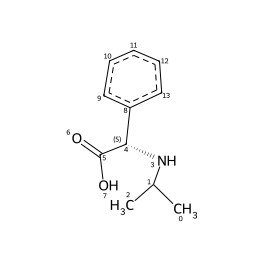 CC(C)N[C@H](C(=O)O)c1ccccc1